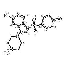 CCN1CCN(c2cn(S(=O)(=O)c3ccc(C(C)C)cc3)c3ccc(Br)cc23)CC1